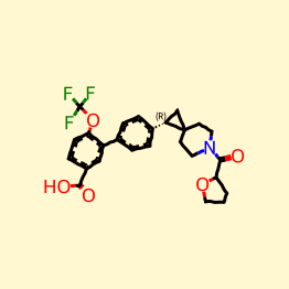 O=C(O)c1ccc(OC(F)(F)F)c(-c2ccc([C@@H]3CC34CCN(C(=O)C3CCCO3)CC4)cc2)c1